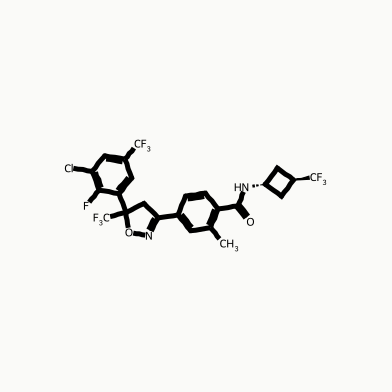 Cc1cc(C2=NOC(c3cc(C(F)(F)F)cc(Cl)c3F)(C(F)(F)F)C2)ccc1C(=O)N[C@H]1C[C@H](C(F)(F)F)C1